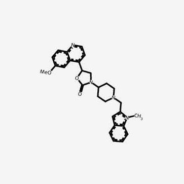 COc1ccc2nccc(C3CN(C4CCN(Cc5cc6ccccc6n5C)CC4)C(=O)O3)c2c1